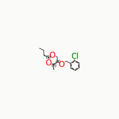 CCC[C@H]1OC[C@@H](OCc2ccccc2Cl)[C@@H](C)O1